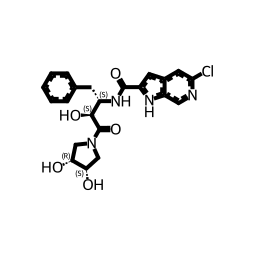 O=C(N[C@@H](Cc1ccccc1)[C@H](O)C(=O)N1C[C@@H](O)[C@@H](O)C1)c1cc2cc(Cl)ncc2[nH]1